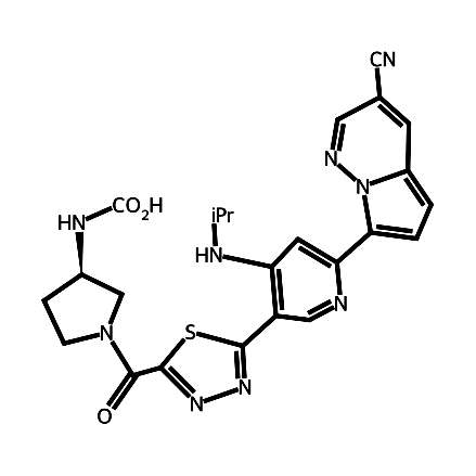 CC(C)Nc1cc(-c2ccc3cc(C#N)cnn23)ncc1-c1nnc(C(=O)N2CC[C@@H](NC(=O)O)C2)s1